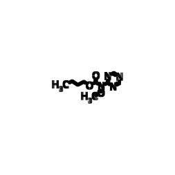 CCCCOC(=O)N(OC)c1ncncn1